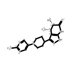 O=C1Nc2[nH]nc(C3CCN(c4cnc(C(F)(F)F)nc4)CC3)c2[C@H](C(F)(F)F)[C@@H]1O